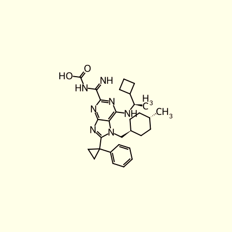 C[C@@H](Nc1nc(C(=N)NC(=O)O)nc2nc(C3(c4ccccc4)CC3)n(C[C@H]3CC[C@H](C)CC3)c12)C1CCC1